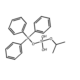 CC(C)[O][Ti]([OH])([OH])[O][Si](c1ccccc1)(c1ccccc1)c1ccccc1